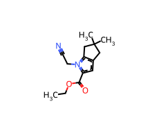 CCOC(=O)c1cc2c(n1CC#N)CC(C)(C)C2